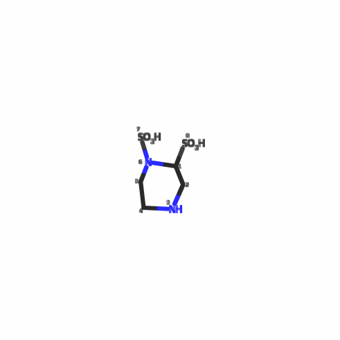 O=S(=O)(O)C1CNCCN1S(=O)(=O)O